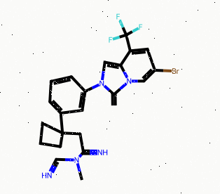 C=C1N2C=C(Br)C=C(C(F)(F)F)C2=CN1c1cccc(C2(CC(=N)N(C)C=N)CCC2)c1